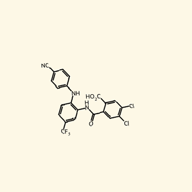 N#Cc1ccc(Nc2ccc(C(F)(F)F)cc2NC(=O)c2cc(Cl)c(Cl)cc2C(=O)O)cc1